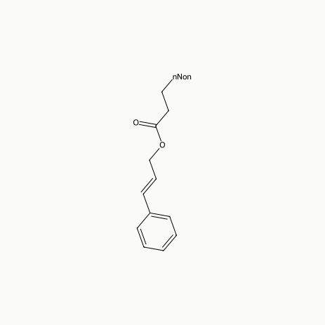 CCCCCCCCCCCC(=O)OC/C=C/c1ccccc1